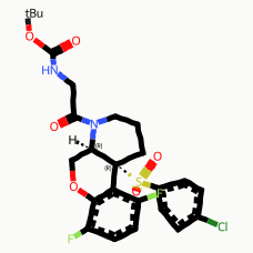 CC(C)(C)OC(=O)NCC(=O)N1CCC[C@@]2(S(=O)(=O)c3ccc(Cl)cc3)c3c(F)ccc(F)c3OC[C@@H]12